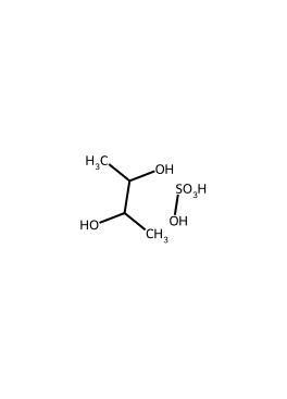 CC(O)C(C)O.O=S(=O)(O)O